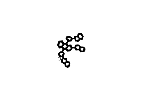 c1cc(-c2ccc3ccccc3c2)cc(-c2c3ccccc3c(-c3ccc4oc5cc6ccccc6cc5c4c3)c3ccc(-c4ccc5ccccc5c4)cc23)c1